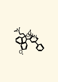 COc1ccc(C(c2cc(-c3ccccc3)cnc2OC)C(O)(CCN(C)C)c2ccccc2)cc1